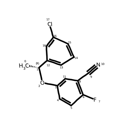 C[C@@H](Oc1ccc(F)c(C#N)c1)c1cccc(Cl)c1